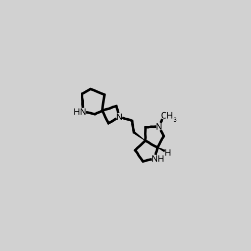 CN1C[C@@H]2NCC[C@]2(CCN2CC3(CCCNC3)C2)C1